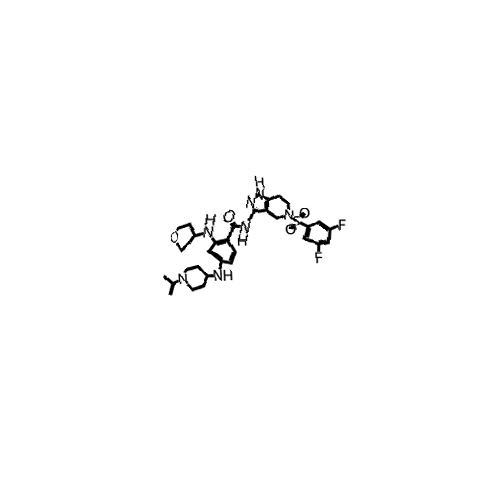 CC(C)N1CCC(Nc2ccc(C(=O)Nc3n[nH]c4c3CN(S(=O)(=O)c3cc(F)cc(F)c3)CC4)c(NC3CCOCC3)c2)CC1